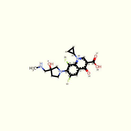 CNCC1(O)CCN(c2c(F)cc3c(=O)c(C(=O)O)cn(C4CC4)c3c2F)C1